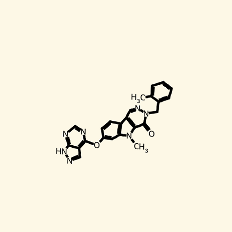 Cc1ccccc1Cn1ncc2c3ccc(Oc4ncnc5[nH]ncc45)cc3n(C)c2c1=O